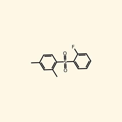 Cc1ccc(S(=O)(=O)c2ccccc2F)c(C)c1